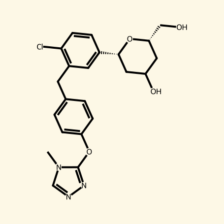 Cn1cnnc1Oc1ccc(Cc2cc([C@H]3CC(O)C[C@@H](CO)O3)ccc2Cl)cc1